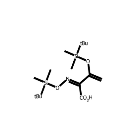 C=C(O[Si](C)(C)C(C)(C)C)C(=NO[Si](C)(C)C(C)(C)C)C(=O)O